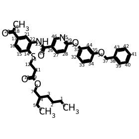 CCCCC(CC)COC(=O)CCSc1ccc(C(C)=O)cc1NC(=O)c1ccc(Oc2cccc(OCc3ccccc3)c2)nc1